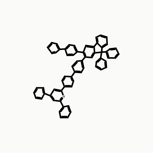 c1ccc(-c2ccc(-c3cc4c(cc3-c3ccc(-c5ccc(-c6cc(-c7ccccc7)cc(-c7ccccc7)n6)cc5)cc3)C(c3ccccc3)(c3ccccc3)c3ccccc3-4)cc2)cc1